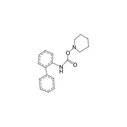 O=C(Nc1ccccc1-c1ccccc1)ON1CCCCC1